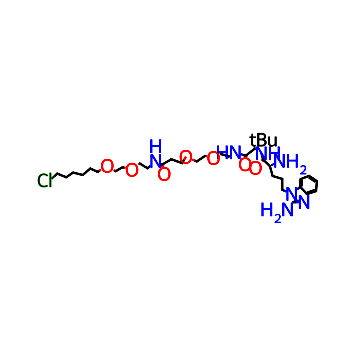 CC(C)(C)[C@H](NC(=O)[C@@H](N)CCCn1c(N)nc2ccccc21)C(=O)NCCOCCOCCC(=O)NCCOCCOCCCCCCCl